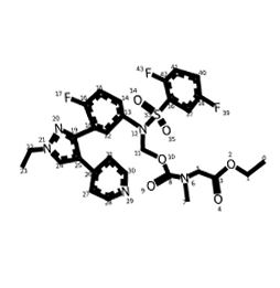 CCOC(=O)CN(C)C(=O)OCN(c1ccc(F)c(-c2nn(CC)cc2-c2ccncc2)c1)S(=O)(=O)c1cc(F)ccc1F